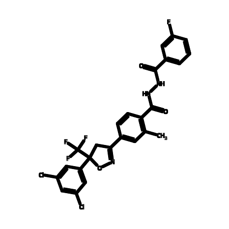 Cc1cc(C2=NOC(c3cc(Cl)cc(Cl)c3)(C(F)(F)F)C2)ccc1C(=O)NNC(=O)c1cccc(F)c1